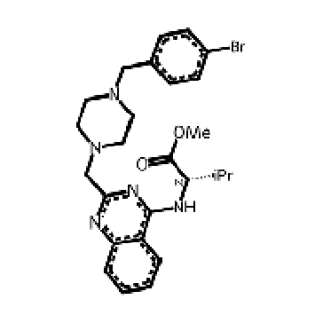 COC(=O)[C@@H](Nc1nc(CN2CCN(Cc3ccc(Br)cc3)CC2)nc2ccccc12)C(C)C